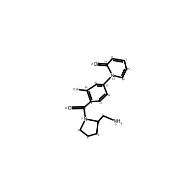 NCC1CCCN1C(=O)c1ccc(-n2ccccc2=O)cc1F